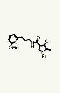 C=C1C(O)=C(C(=O)NCCCc2cccc(OC)n2)CN1CC